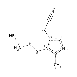 Br.Cc1ncc(CC#N)n1CCN